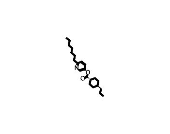 CCCCCCCc1ccc(OC(=O)[C@H]2CC[C@H](CCC)CC2)cn1